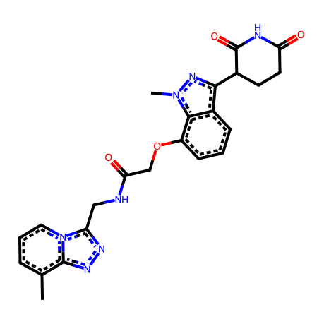 Cc1cccn2c(CNC(=O)COc3cccc4c(C5CCC(=O)NC5=O)nn(C)c34)nnc12